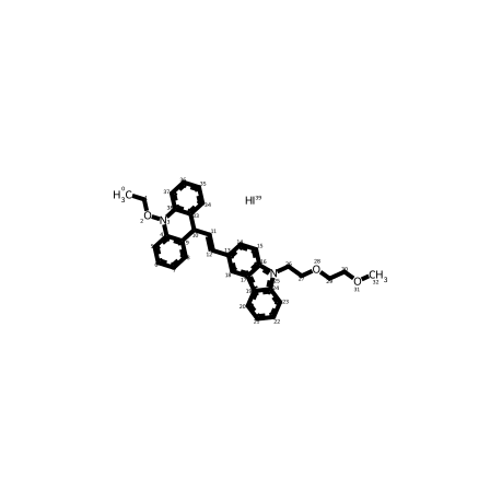 CCON1c2ccccc2C(C=Cc2ccc3c(c2)c2ccccc2n3CCOCCOC)c2ccccc21.I